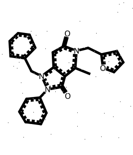 Cc1c2c(=O)n(-c3ccccc3)n(Cc3ccccc3)c2cc(=O)n1Cc1ccco1